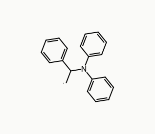 [CH2]C(c1ccccc1)N(c1ccccc1)c1ccccc1